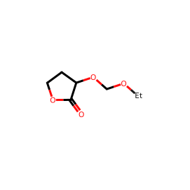 CCOCOC1CCOC1=O